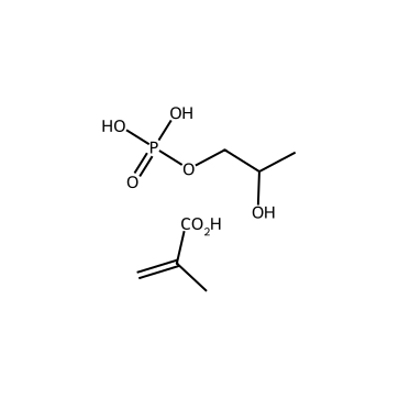 C=C(C)C(=O)O.CC(O)COP(=O)(O)O